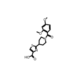 COc1ccc(C(=O)N2CCC(c3nc(C(=O)O)cs3)CC2)c(OC)c1